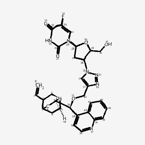 C=CC1C[N@@]2CCC1C[C@@H]2[C@@H](OCc1cn(C2CC(n3cc(F)c(=O)[nH]c3=O)OC2CO)nn1)c1ccnc2ccccc12